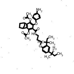 CCC(C)(C)c1ccc(OCCCNC(=O)c2c(Oc3ccc(N)cc3)c(OC(C)=O)c3c(c2OC(C)=O)C2CCC3C2)c(C(C)(C)CC)c1